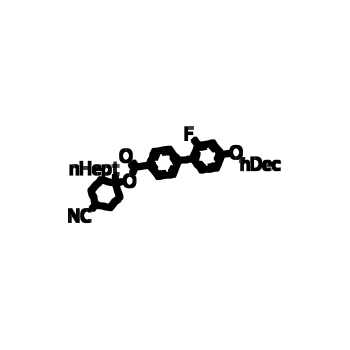 CCCCCCCCCCOc1ccc(-c2ccc(C(=O)OC3(CCCCCCC)CCC(C#N)CC3)cc2)c(F)c1